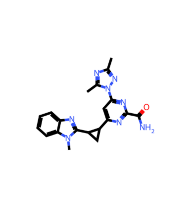 Cc1nc(C)n(-c2cc(C3CC3c3nc4ccccc4n3C)nc(C(N)=O)n2)n1